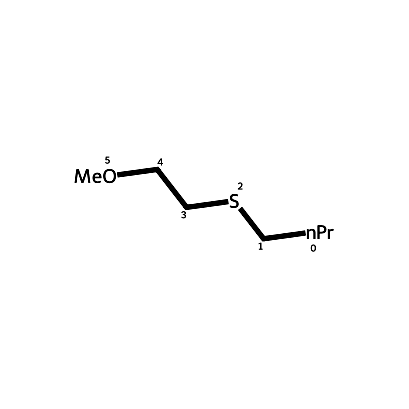 CCCCSCCOC